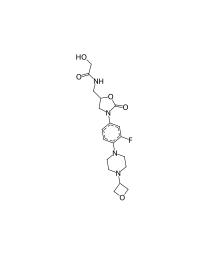 O=C(CO)NCC1CN(c2ccc(N3CCN(C4COC4)CC3)c(F)c2)C(=O)O1